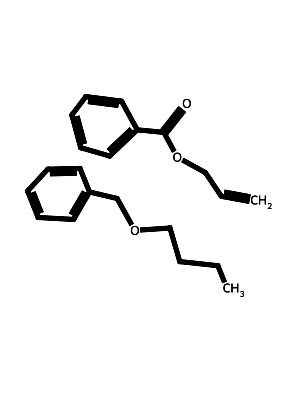 C=CCOC(=O)c1ccccc1.CCCCOCc1ccccc1